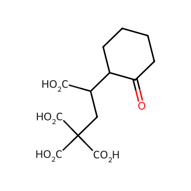 O=C(O)C(CC(C(=O)O)(C(=O)O)C(=O)O)C1CCCCC1=O